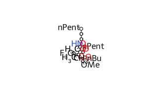 CCCCCC(=O)Oc1cccc2c1c(-c1ccc(NC(=O)c3ccc(-c4ccc(C5CCCC(CCCCC)C5)cc4)cc3)cc1C)cc1c3c(c4c(c12)OC(c1ccc(OC)cc1)(c1ccc(OCCCC)cc1)C=C4)C(C)(C)c1cc(C(F)(F)F)ccc1-3